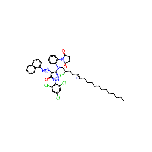 CCCCCCCCCCCC/C=C/CCC(Cl)CN(c1ccccc1N1C(=O)CCC1=O)c1[nH]n(-c2c(Cl)cc(Cl)cc2Cl)c(=O)c1/N=N/c1cccc2ccccc12